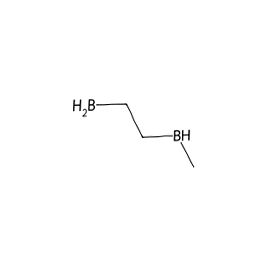 BCCBC